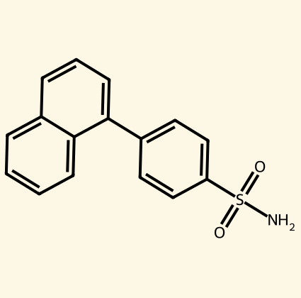 NS(=O)(=O)c1ccc(-c2cccc3ccccc23)cc1